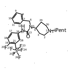 CCCC(C)N1CCC(N(Cc2ccccc2)C(=O)Nc2ccc(F)c(S(F)(F)(F)(F)F)c2)CC1